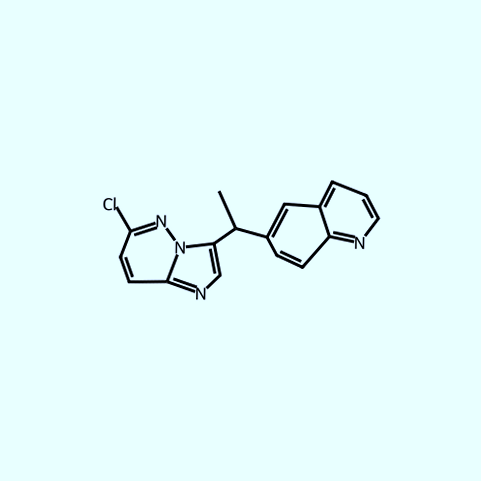 CC(c1ccc2ncccc2c1)c1cnc2ccc(Cl)nn12